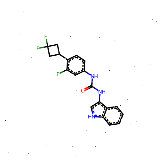 O=C(Nc1ccc(C2CC(F)(F)C2)c(F)c1)Nc1c[nH]c2ccccc12